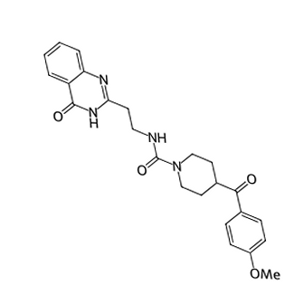 COc1ccc(C(=O)C2CCN(C(=O)NCCc3nc4ccccc4c(=O)[nH]3)CC2)cc1